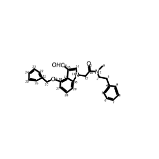 CN(CCc1ccccc1)C(=O)Cn1cc(C=O)c2c(OCc3ccccc3)cccc21